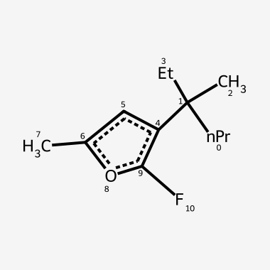 CCCC(C)(CC)c1cc(C)oc1F